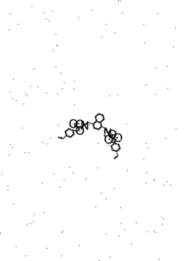 C=Cc1ccc(S(=O)(=O)O/N=C/c2ccc(/C=N/OS(=O)(=O)c3ccc(C=C)cc3)c3ccccc23)cc1